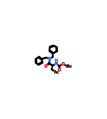 CC(=O)C[C@H](NC(=O)OC(C)(C)C)C(=O)N(Cc1ccccc1)Cc1ccccc1